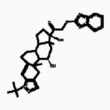 CC12Cc3cnn(C(C)(C)C)c3C=C1CCC1C2[C@@H](O)CC2(C)C1CC[C@]2(O)C(=O)CSc1nc2ccccc2s1